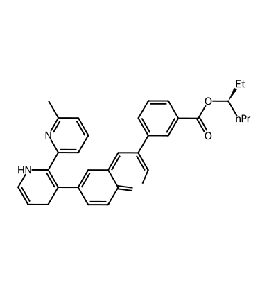 C=c1ccc(C2=C(c3cccc(C)n3)NC=CC2)c/c1=C/C(=C\C)c1cccc(C(=O)O[C@@H](CC)CCC)c1